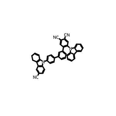 N#Cc1ccc2c(c1)c1c(n2-c2ccc(-c3cccc(-c4cc(C#N)c(C#N)cc4-n4c5ccccc5c5ccccc54)c3)cc2)C=CCC1